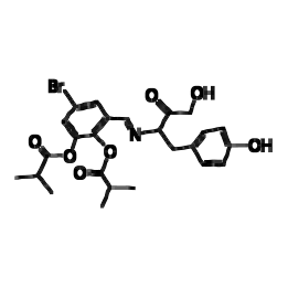 CC(C)C(=O)Oc1cc(Br)cc(C=NC(Cc2ccc(O)cc2)C(=O)CO)c1OC(=O)C(C)C